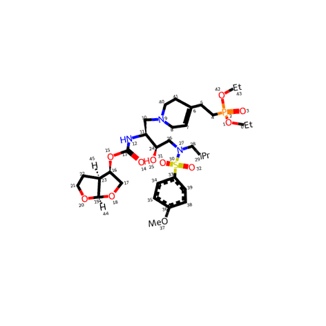 CCOP(=O)(CCC1=CCN(C[C@H](NC(=O)O[C@H]2CO[C@H]3OCC[C@H]32)[C@H](O)CN(CC(C)C)S(=O)(=O)c2ccc(OC)cc2)CC1)OCC